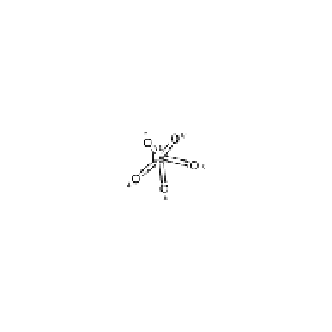 [O]=[La](=[O])(=[O])(=[O])=[O]